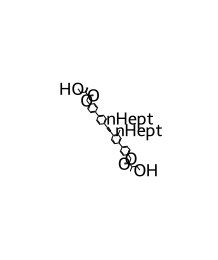 C=C(CO)C(=O)Oc1ccc(-c2ccc(C#Cc3ccc(-c4ccc(OC(=O)C(C)CO)cc4)cc3CCCCCCC)c(CCCCCCC)c2)cc1